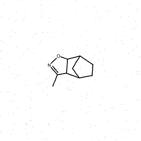 CC1=NOC2C3CCC(C3)C12